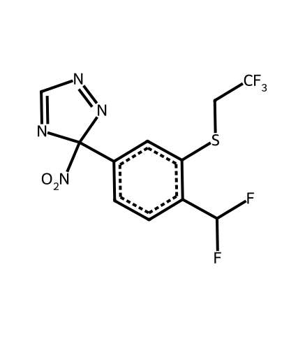 O=[N+]([O-])C1(c2ccc(C(F)F)c(SCC(F)(F)F)c2)N=CN=N1